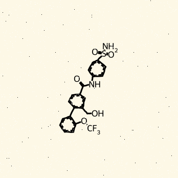 NS(=O)(=O)c1ccc(NC(=O)c2ccc(-c3ccccc3OC(F)(F)F)c(CO)c2)cc1